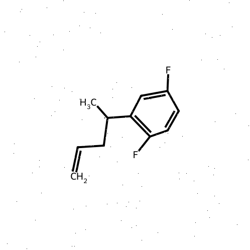 C=CC[C](C)c1cc(F)ccc1F